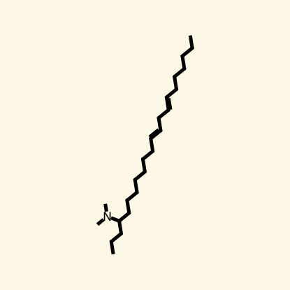 CCCCCCC=CCC=CCCCCCCCC(CCC)N(C)C